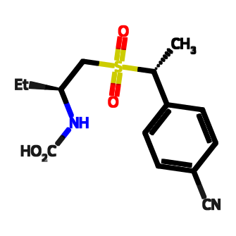 CC[C@@H](CS(=O)(=O)[C@H](C)c1ccc(C#N)cc1)NC(=O)O